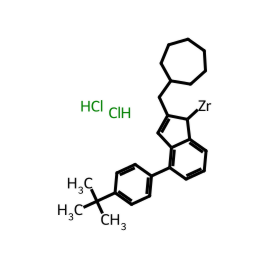 CC(C)(C)c1ccc(-c2cccc3c2C=C(CC2CCCCCC2)[CH]3[Zr])cc1.Cl.Cl